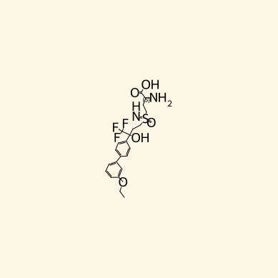 CCOc1cccc(-c2ccc(C(O)(CCS(=N)(=O)CC[C@H](N)C(=O)O)C(F)(F)F)cc2)c1